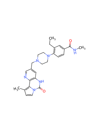 CCc1cc(C(=O)NC)ccc1N1CCN(Cc2cnc3c(c2)[nH]c(=O)n2ccc(C)c32)CC1